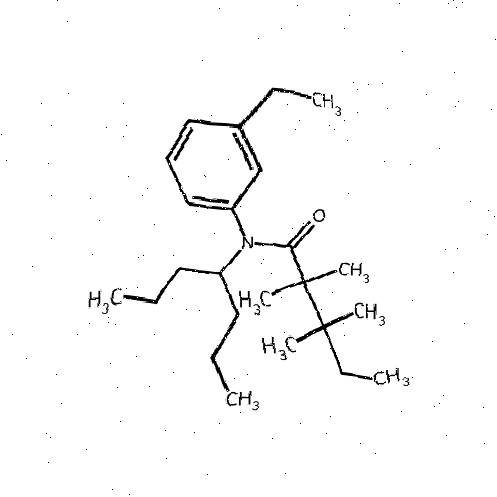 CCCC(CCC)N(C(=O)C(C)(C)C(C)(C)CC)c1cccc(CC)c1